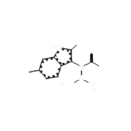 Cc1[nH]c2cc(Cl)ccc2c1N(C(=S)S)N(C)C